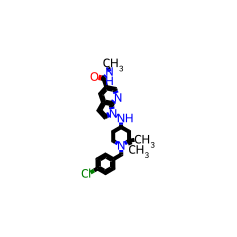 CNC(=O)c1cnc2c(ccn2NC2CCN(Cc3ccc(Cl)cc3)C(C)(C)C2)c1